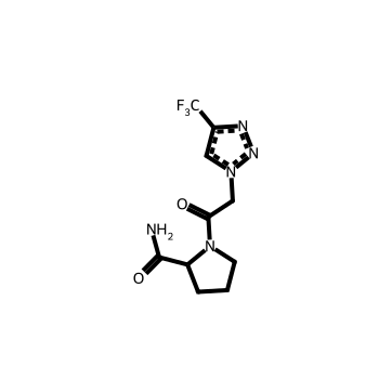 NC(=O)C1CCCN1C(=O)Cn1cc(C(F)(F)F)nn1